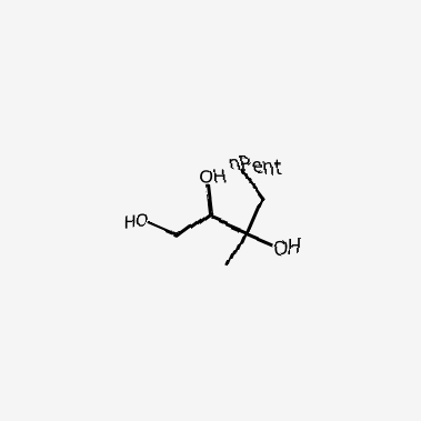 CCCCCCC(C)(O)C(O)CO